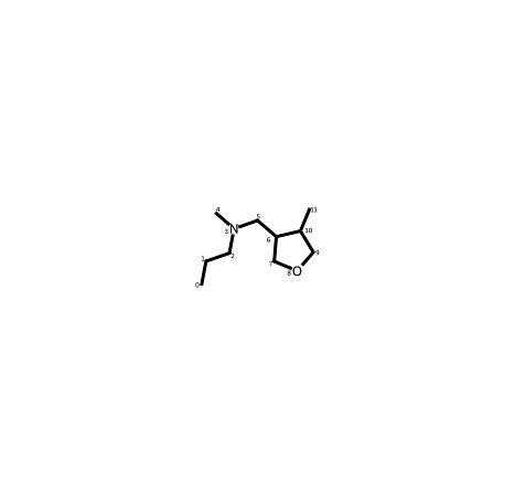 CCCN(C)CC1COCC1C